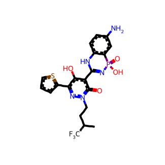 CC(CCn1nc(-c2cccs2)c(O)c(C2=NP(=O)(O)c3cc(N)ccc3N2)c1=O)C(F)(F)F